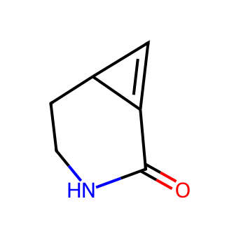 O=C1NCCC2C=C12